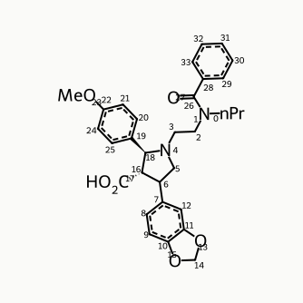 CCCN(CCN1CC(c2ccc3c(c2)OCO3)[C@H](C(=O)O)[C@H]1c1ccc(OC)cc1)C(=O)c1ccccc1